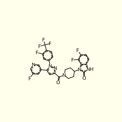 O=C(c1cc(-c2cncc(F)c2)n(-c2ccc(C(F)(F)F)c(F)c2)n1)N1CCC(n2c(=O)[nH]c3ccc(F)c(F)c32)CC1